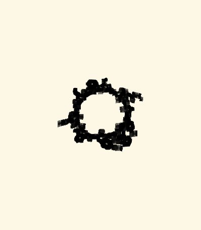 CCCC[C@H]1C(=O)N(C)CC(=O)N[C@@H](CC(=O)O)C(=O)N[C@@H](C(C)C)C(=O)N(C)[C@@H](Cc2ccccc2)C(=O)N[C@H]2Cc3ccc(O)cc3N(CC(=O)N[C@@H](Cc3c[nH]c4ccccc34)C(=O)NC(Cc3ccc(O)cc3)C(=O)N[C@@H](CC(C)C)C(=O)N[C@H](C(=O)NCC(N)=O)CSCC(=O)N[C@@H](CCSC)C(=O)N(C)[C@@H](Cc3ccccc3)C(=O)N1C)C2=O